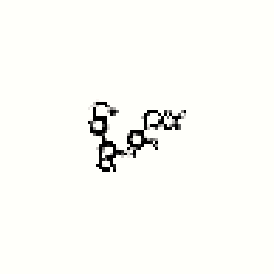 COc1cc(Nc2nc(-c3cnc4c(c3)NCCO4)cn3ccnc23)ccc1N1CCC[C@]2(CNC(=O)O2)C1